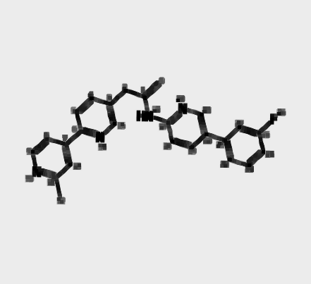 C=C(Cc1ccc(-c2ccnc(C)c2)nc1)Nc1ccc(-c2cccc(F)c2)cn1